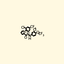 O=C(NNc1ccc(OC(F)(F)F)c(Cl)c1)c1cccn1-c1ncc(C(F)(F)F)cc1Cl